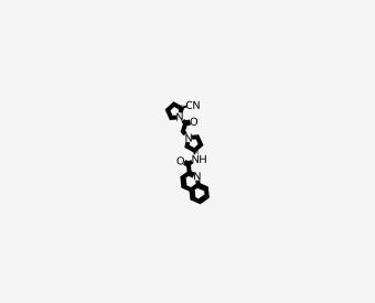 N#C[C@@H]1CCCN1C(=O)CN1CC[C@H](NC(=O)c2ccc3ccccc3n2)C1